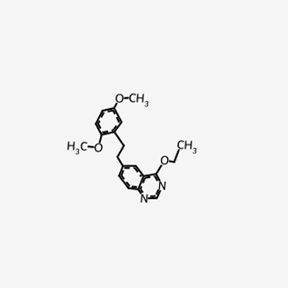 CCOc1ncnc2ccc(CCc3cc(OC)ccc3OC)cc12